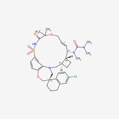 CN(C)C(=O)N(C)[C@H]1/C=C/COC(C)(C)C(=O)NS(=O)(=O)c2ccc3c(c2)N(C[C@@H]2CC[C@H]21)C[C@@]1(CCCc2cc(Cl)ccc21)CO3